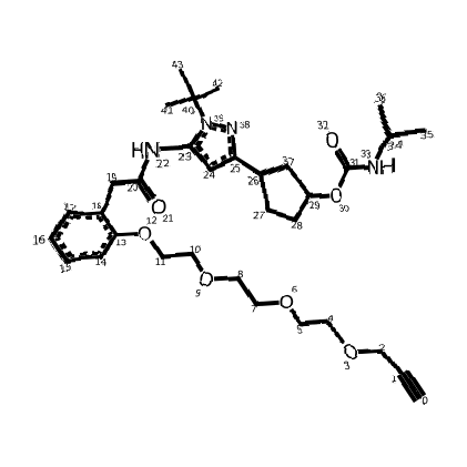 C#CCOCCOCCOCCOc1ccccc1CC(=O)Nc1cc(C2CCC(OC(=O)NC(C)C)C2)nn1C(C)(C)C